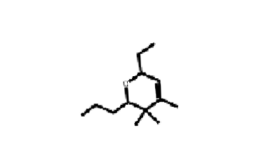 CCCC1OC(CC)C=C(C)C1(C)C